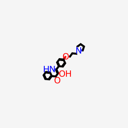 O=c1c(O)c(-c2ccc(OCCCN3CCCC3)cc2)[nH]c2ccccc12